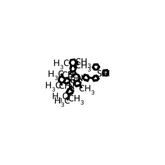 CC1=CC2=C3B(c4cc5c(cc4N2c2ccc(C(C)(C)C)cc2)C(C)(C)CCC5(C)C)c2sc4cc5c(cc4c2CN(c2ccc(-c4cccc([SiH](c6ccccc6)c6ccccc6)c4)cc2)C3C1)C(C)(C)CC[C@@H]5C